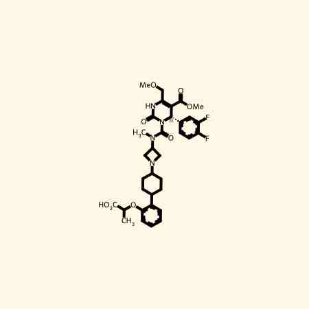 COCC1=C(C(=O)OC)[C@H](c2ccc(F)c(F)c2)N(C(=O)N(C)C2CN(C3CCC(c4ccccc4OC(C)C(=O)O)CC3)C2)C(=O)N1